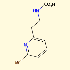 O=C(O)NCCc1cccc(Br)n1